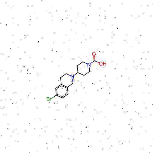 O=C(O)N1CCC(N2CCc3cc(Br)ccc3C2)CC1